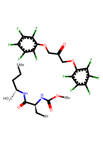 CSCC[C@H](NC(=O)[C@H](CC(C)C)NC(=O)OC(C)(C)C)C(=O)O.O=C(COc1c(F)c(F)c(F)c(F)c1F)COc1c(F)c(F)c(F)c(F)c1F